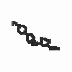 CNc1cc(Nc2ccc(N3CCN(C(C)C)CC3)cc2)ncn1